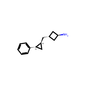 N[C@H]1C[C@H](C[C@H]2C[C@@H]2c2ccccc2)C1